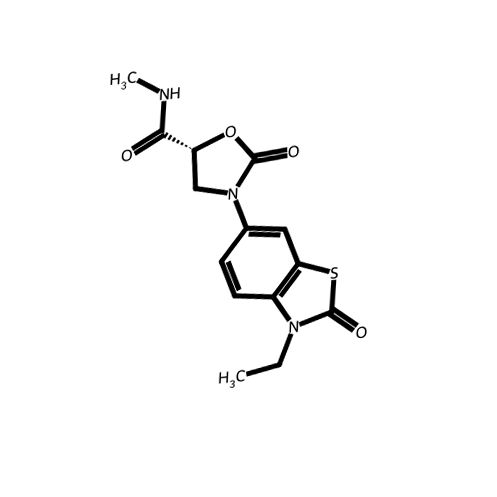 CCn1c(=O)sc2cc(N3C[C@H](C(=O)NC)OC3=O)ccc21